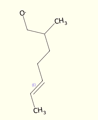 C/C=C/CCC(C)C[O]